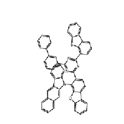 c1ccc(-c2cccc(-c3nc(-c4ccc5c(oc6ccccc65)c4-n4c5ccccc5c5cc6ccccc6cc54)nc(-c4cccc5c4sc4ccccc45)n3)c2)cc1